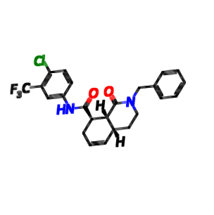 O=C(Nc1ccc(Cl)c(C(F)(F)F)c1)[C@@H]1CC=C[C@H]2CCN(Cc3ccccc3)C(=O)[C@H]21